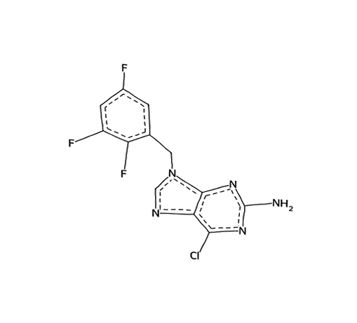 Nc1nc(Cl)c2ncn(Cc3cc(F)cc(F)c3F)c2n1